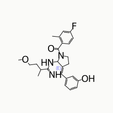 COCCC(C)C(=N)NC1/C(=C/c2cccc(O)c2)CCN1C(=O)c1ccc(F)cc1C